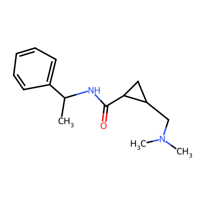 CC(NC(=O)C1CC1CN(C)C)c1ccccc1